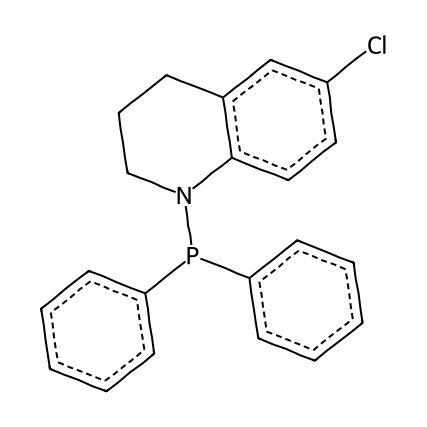 Clc1ccc2c(c1)CCCN2P(c1ccccc1)c1ccccc1